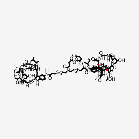 CCC(C)C[C@@H]1NC(=O)[C@@H]2Cc3c([nH]c4ccc(NC(=O)CCSSCCN(CCSSCCC(=O)Nc5ccc6[nH]c7c(c6c5)C[C@@H]5NC(=O)[C@H](C)NC(=O)[C@@H]6C[C@@H](O)CN6C(=O)[C@@H](CS7)NC(=O)[C@@H](C(C)O)NC(=O)[C@H](C)CNC(=O)[C@H](CC(C)CC)NC5=O)C(=O)CCC(=O)ON5C(=O)CCC5=O)cc34)SC[C@@H](NC(=O)[C@@H](C(C)O)NC(=O)[C@H](C)CNC1=O)C(=O)N1C[C@H](O)C[C@H]1C(=O)N[C@@H](C)C(=O)N2